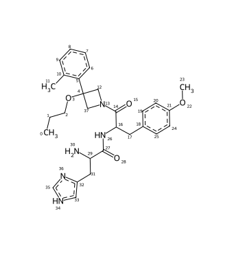 CCCOC1(c2ccccc2C)CN(C(=O)C(Cc2ccc(OC)cc2)NC(=O)C(N)Cc2c[nH]cn2)C1